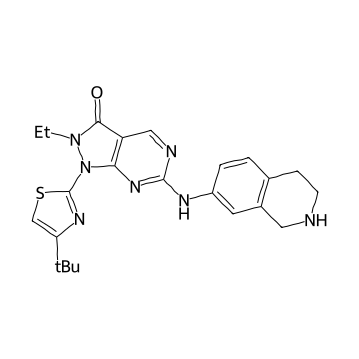 CCn1c(=O)c2cnc(Nc3ccc4c(c3)CNCC4)nc2n1-c1nc(C(C)(C)C)cs1